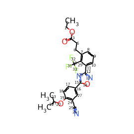 CCOC(=O)CCc1cccc(-c2noc(-c3ccc(OC(C)C)c(C#N)c3)n2)c1C(F)(F)F